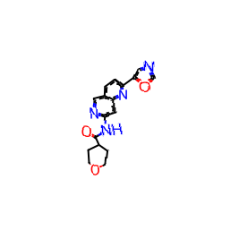 O=C(Nc1cc2nc(-c3cnco3)ccc2cn1)C1CCOCC1